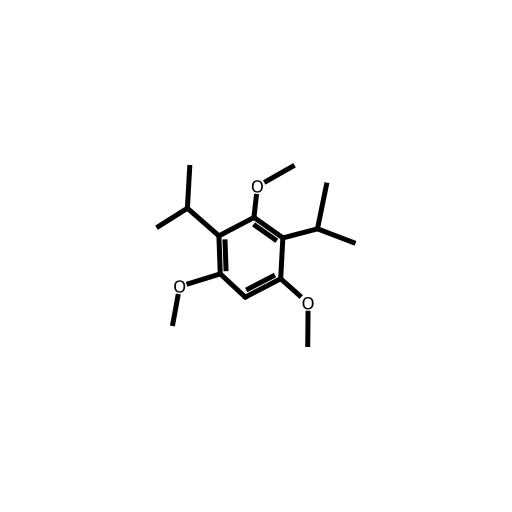 COc1cc(OC)c(C(C)C)c(OC)c1C(C)C